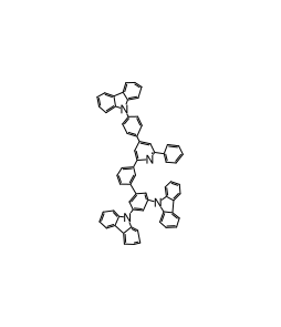 c1ccc(-c2cc(-c3ccc(-n4c5ccccc5c5ccccc54)cc3)cc(-c3cccc(-c4cc(-n5c6ccccc6c6ccccc65)cc(-n5c6ccccc6c6ccccc65)c4)c3)n2)cc1